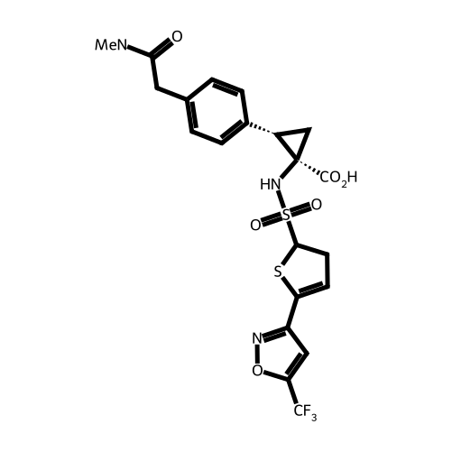 CNC(=O)Cc1ccc([C@@H]2C[C@]2(NS(=O)(=O)C2CC=C(c3cc(C(F)(F)F)on3)S2)C(=O)O)cc1